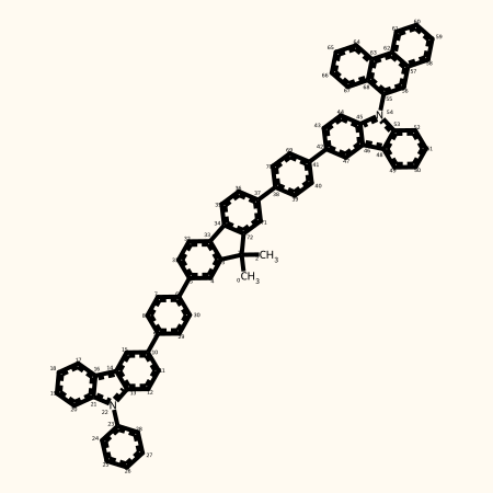 CC1(C)c2cc(-c3ccc(-c4ccc5c(c4)c4ccccc4n5-c4ccccc4)cc3)ccc2-c2ccc(-c3ccc(-c4ccc5c(c4)c4ccccc4n5-c4cc5ccccc5c5ccccc45)cc3)cc21